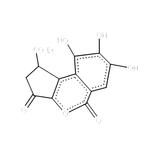 CCOC(=O)C1CC(=O)c2oc(=O)c3cc(O)c(O)c(O)c3c21